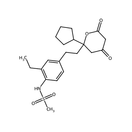 CCc1cc(CCC2(C3CCCC3)CC(=O)CC(=O)O2)ccc1NS(C)(=O)=O